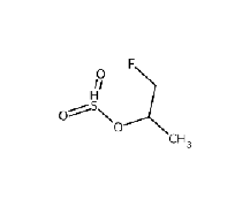 CC(CF)O[SH](=O)=O